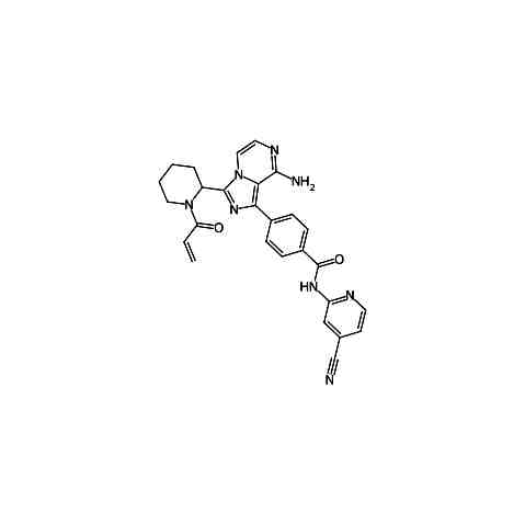 C=CC(=O)N1CCCCC1c1nc(-c2ccc(C(=O)Nc3cc(C#N)ccn3)cc2)c2c(N)nccn12